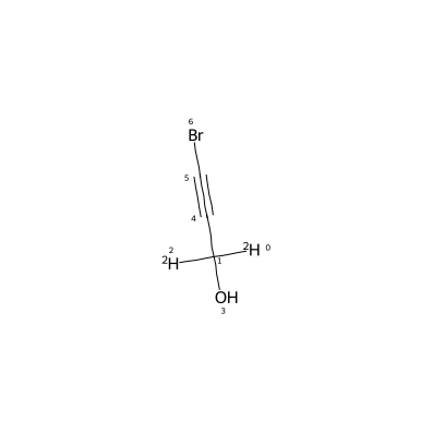 [2H]C([2H])(O)C#CBr